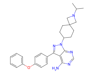 CC(C)N1CC2(CCC(n3nc(-c4ccc(Oc5ccccc5)cc4)c4c(N)ncnc43)CC2)C1